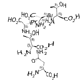 CC(C)[C@H](N)C(=O)O.CC[C@H](C)[C@H](N)C(=O)O.C[C@@H](O)[C@H](N)C(=O)O.C[C@@H](O)[C@H](N)C(=O)O.NC(=O)C[C@H](N)C(=O)O